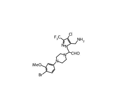 COc1cc(N2CCN(C(C=O)n3nc(C(F)(F)F)c(Cl)c3CN)CC2)ccc1Br